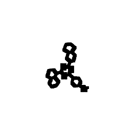 Brc1ccc(-c2nc(-c3ccc4ccccc4c3)nc(-c3cccc4ccccc34)n2)cc1